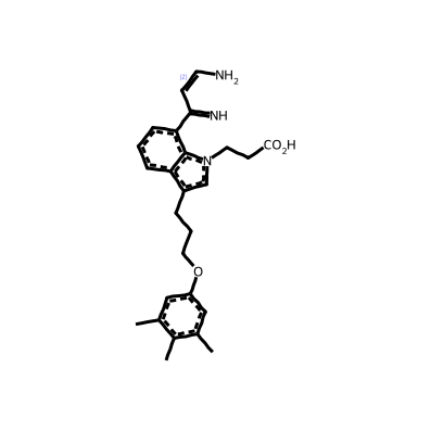 Cc1cc(OCCCc2cn(CCC(=O)O)c3c(C(=N)/C=C\N)cccc23)cc(C)c1C